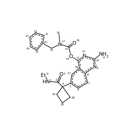 CCNC(=O)C1(c2ccc3nc(N)nc(OC(=O)N(C)Cc4ccccc4)c3c2)CCC1